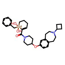 O=C(C1=CCCC[SH]1(O)(O)Cc1ccccc1)N1CCC(Oc2ccc3c(c2)CCN(C2CCC2)CC3)CC1